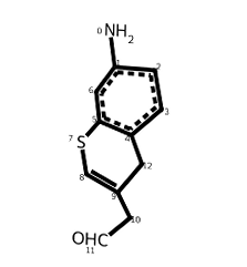 Nc1ccc2c(c1)SC=C(CC=O)C2